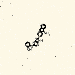 N#Cc1ncccc1Sc1cnc2[nH]c(N3CCC4(CC3)Cc3ccccc3[C@H]4N)nc2n1